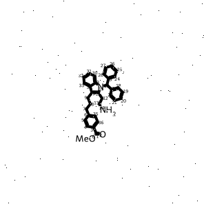 COC(=O)c1ccc(CCCc2c(CCN)n(C(c3ccccc3)c3ccccc3)c3ccccc23)cc1